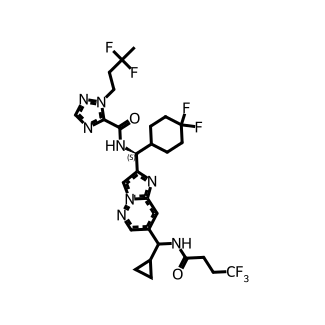 CC(F)(F)CCn1ncnc1C(=O)N[C@H](c1cn2ncc(C(NC(=O)CCC(F)(F)F)C3CC3)cc2n1)C1CCC(F)(F)CC1